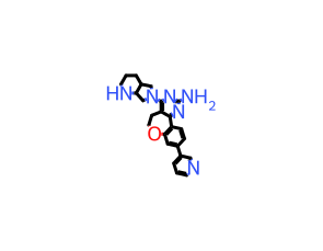 Nc1nc2c(c(N3CC4CCCNC4C3)n1)CCOc1cc(-c3cccnc3)ccc1-2